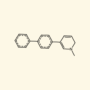 CN1C=C(c2ccc(-c3ccccc3)cc2)C=CC1